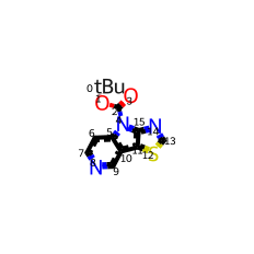 CC(C)(C)OC(=O)n1c2ccncc2c2scnc21